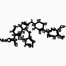 CCn1cncc1Cn1c(CC2CC=C(c3ncc(F)c(O)n3)CC2)nc2ccc(C(=O)OC)cc21